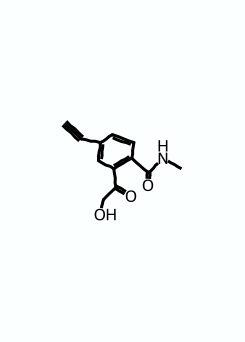 C#Cc1ccc(C(=O)NC)c(C(=O)CO)c1